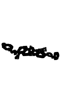 COc1c(OCCN2CCOCC2)ccc2c1ccc1c(Nc3ccc(OCc4ccccc4)c(Cl)c3)c(C#N)cnc12